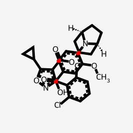 COc1cc(C(=O)O)ccc1N1[C@@H]2CC[C@H]1C[C@H](OC(=O)c1c(-c3c(Cl)cccc3Cl)noc1C1CC1)C2